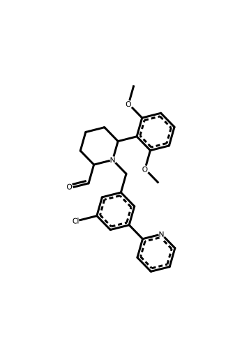 COc1cccc(OC)c1C1CCCC(C=O)N1Cc1cc(Cl)cc(-c2ccccn2)c1